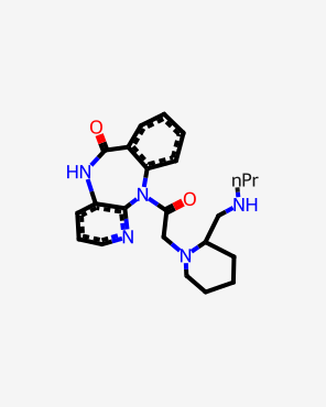 CCCNCC1CCCCN1CC(=O)N1c2ccccc2C(=O)Nc2cccnc21